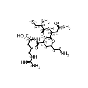 N=C(N)NCCC[C@H](NC(=O)[C@H](CCCCN)NC(=O)[C@H](CC(N)=O)NC(=O)[C@@H](N)CS)C(=O)O